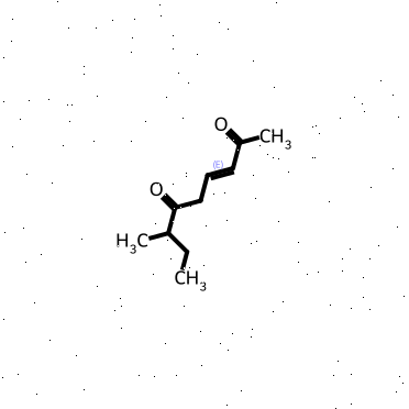 CCC(C)C(=O)C/C=C/C(C)=O